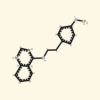 FC(F)(F)Oc1ccc(CCOc2ncnc3ccccc23)cc1